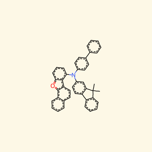 CC1(C)c2ccccc2-c2ccc(N(c3ccc(-c4ccccc4)cc3)c3cccc4oc5c6ccccc6ccc5c34)cc21